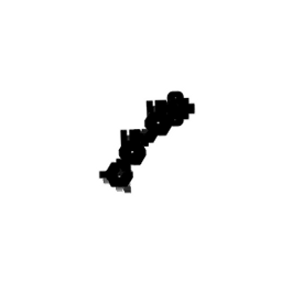 C[C@@H]1C[C@@H](C)CN(c2ccc(NCc3ccc(NS(=O)(=O)C(C)(C)C)cc3)cc2)C1